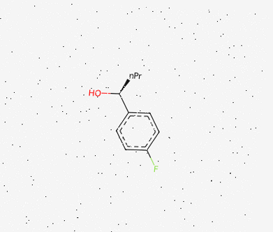 [CH2]CC[C@H](O)c1ccc(F)cc1